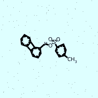 Cc1ccc(S(=O)(=O)O[I+]c2cccc3c2-c2ccccc2-3)cc1